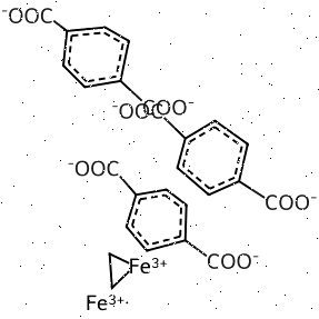 O=C([O-])c1ccc(C(=O)[O-])cc1.O=C([O-])c1ccc(C(=O)[O-])cc1.O=C([O-])c1ccc(C(=O)[O-])cc1.[CH2]1[CH2][Fe+3]1.[Fe+3]